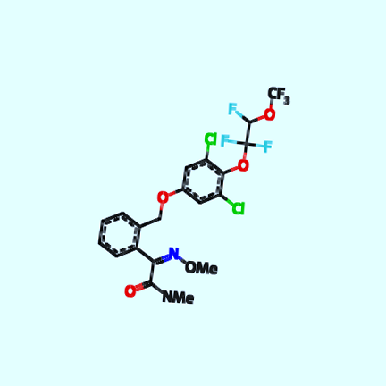 CNC(=O)C(=NOC)c1ccccc1COc1cc(Cl)c(OC(F)(F)C(F)OC(F)(F)F)c(Cl)c1